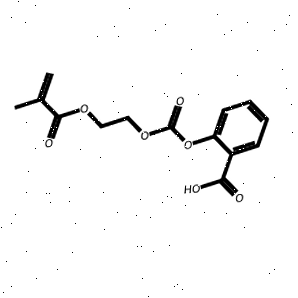 C=C(C)C(=O)OCCOC(=O)Oc1ccccc1C(=O)O